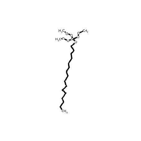 CCCCCCCCCCCCCCCCO[Si](OOC)(OOC)OOC